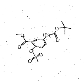 COC(=O)c1cc(NC(=O)OC(C)(C)C)ccc1OS(C)(=O)=O